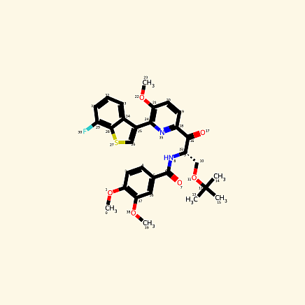 COc1ccc(C(=O)N[C@@H](COC(C)(C)C)C(=O)c2ccc(OC)c(-c3csc4c(F)cccc34)n2)cc1OC